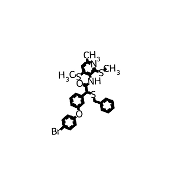 CSc1cc(C)nc(SC)c1NC(=O)C(SCc1ccccc1)c1cccc(Oc2ccc(Br)cc2)c1